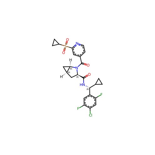 O=C(N[C@@H](c1cc(F)c(Cl)cc1F)C1CC1)[C@H]1C[C@H]2C[C@H]2N1C(=O)c1ccnc(S(=O)(=O)C2CC2)c1